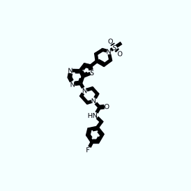 CS(=O)(=O)N1CC=C(c2cc3ncnc(N4CCN(C(=O)NCc5ccc(F)cc5)CC4)c3s2)CC1